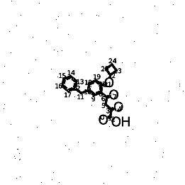 O=C(O)C(=O)CC(=O)c1cc(Cc2ccccc2)ccc1OC1CCC1